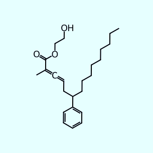 CCCCCCCCCC(CC=C=C(C)C(=O)OCCO)c1ccccc1